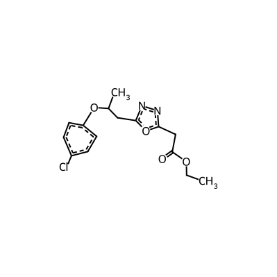 CCOC(=O)Cc1nnc(CC(C)Oc2ccc(Cl)cc2)o1